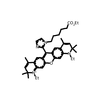 CCOC(=O)CCCCCn1ccnc1C1=c2cc3c(cc2Oc2cc4c(cc21)C(C)=CC(C)(C)N4CC)=[N+](CC)C(C)(C)C=C3C